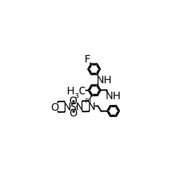 Cc1cc(Nc2ccc(F)cc2)c(C=N)cc1[C@@H]1CN(S(=O)(=O)N2CCOCC2)CCN1CCc1ccccc1